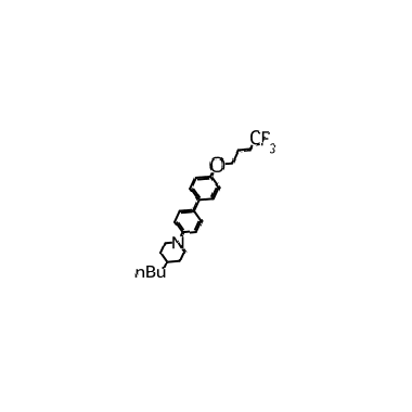 CCCCC1CCN(c2ccc(-c3ccc(OCCCC(F)(F)F)cc3)cc2)CC1